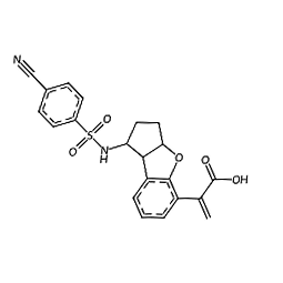 C=C(C(=O)O)c1cccc2c1OC1CCC(NS(=O)(=O)c3ccc(C#N)cc3)C21